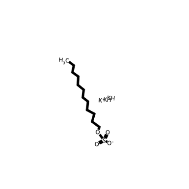 CCCCCCCCCCCCOS(=O)(=O)[O-].[K+].[KH].[KH]